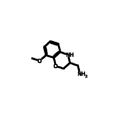 COc1cccc2c1OCC(CN)N2